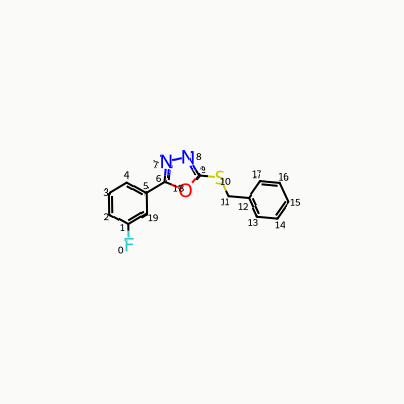 Fc1cccc(-c2nnc(SCc3ccccc3)o2)c1